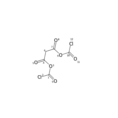 O=C(Cl)OC(=O)CC(=O)OC(=O)Cl